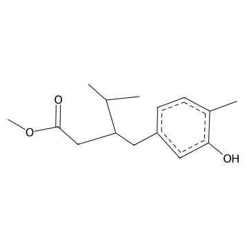 COC(=O)CC(Cc1ccc(C)c(O)c1)C(C)C